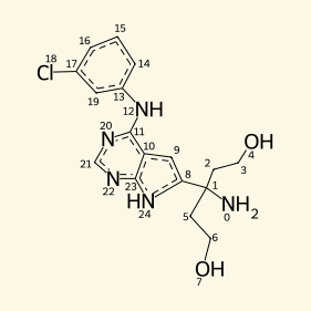 NC(CCO)(CCO)c1cc2c(Nc3cccc(Cl)c3)ncnc2[nH]1